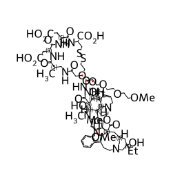 CC[C@]1(O)C[C@H]2CN(CCc3c([nH]c4ccccc34)[C@@](C(=O)OC)(c3cc4c(cc3OC)N(C)[C@H]3[C@@](O)(C(=O)NNC(=O)OCCSSCC(NC(=O)[C@H](CC(=O)O)NC(=O)[C@H](CC(=O)O)NC(=O)[C@@H](C)CNC(=O)CCOCCOCCOCCOC)C(=O)O)[C@H](O)[C@]5(CC)C=CCN6CC[C@]43[C@@H]65)C2)C1